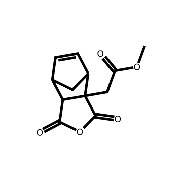 COC(=O)CC12C(=O)OC(=O)C1C1C=CC2C1